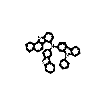 c1ccc(-n2c3ccccc3c3ccc(N(c4ccc5sc6ccccc6c5c4)c4cccc5sc6c7ccccc7ccc6c45)cc32)cc1